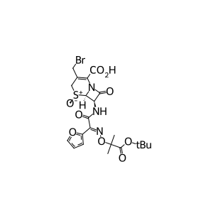 CC(C)(C)OC(=O)C(C)(C)ON=C(C(=O)N[C@@H]1C(=O)N2C(C(=O)O)=C(CBr)C[S@+]([O-])[C@H]12)c1ccco1